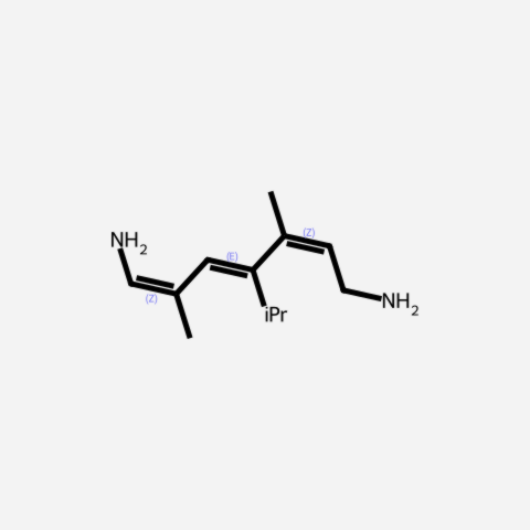 CC(=C/N)/C=C(/C(C)=C\CN)C(C)C